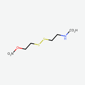 O=C(O)NCCSSCCO[N+](=O)[O-]